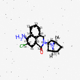 CN1[C@@H]2CC[C@H]1C[C@@H](N1Cc3cccc4c(N)c(Cl)cc(c34)C1=O)C2